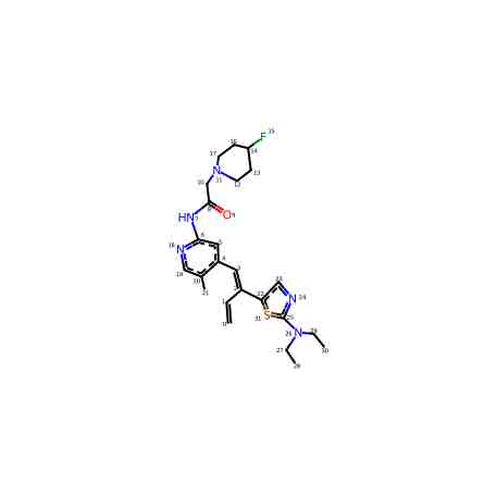 C=C/C(=C\c1cc(NC(=O)CN2CCC(F)CC2)ncc1C)c1cnc(N(CC)CC)s1